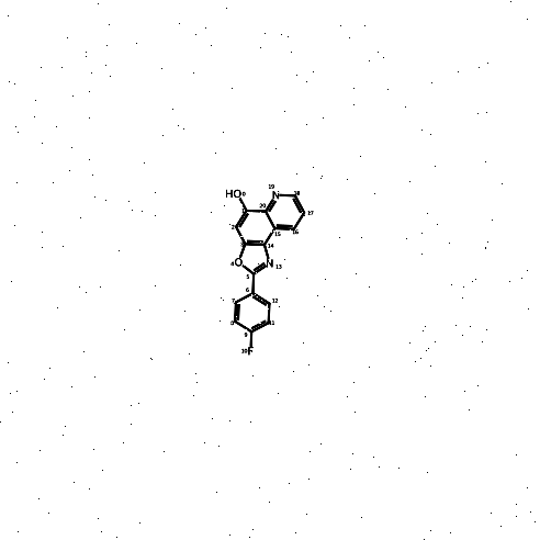 Oc1cc2oc(-c3ccc(F)cc3)nc2c2cccnc12